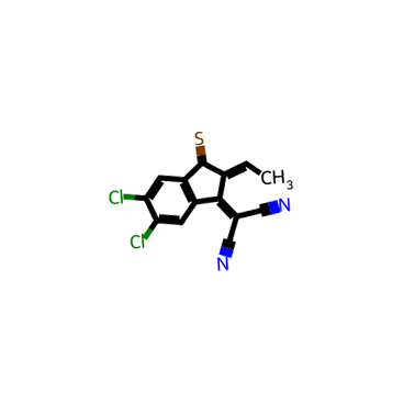 C/C=C1/C(=S)c2cc(Cl)c(Cl)cc2C1=C(C#N)C#N